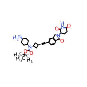 CC(C)(C)OC(=O)N(C1CCC(N)CC1)[C@H]1C[C@H](C#Cc2ccc3c(c2)CN(C2CCC(=O)NC2=O)C3=O)C1